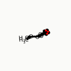 CC[C@@H](C)c1ccc(OCCCCCCOc2ccc(S(=O)(=O)c3ccc(N4c5ccccc5C(c5ccccc5)(c5ccccc5)c5ccccc54)cc3)cc2)cc1